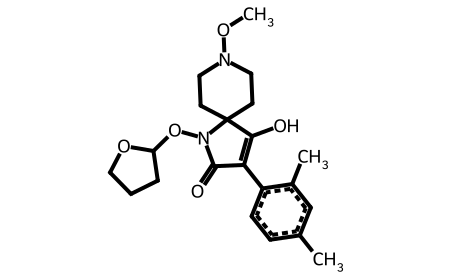 CON1CCC2(CC1)C(O)=C(c1ccc(C)cc1C)C(=O)N2OC1CCCO1